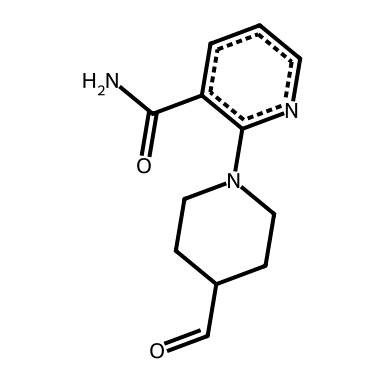 NC(=O)c1cccnc1N1CCC(C=O)CC1